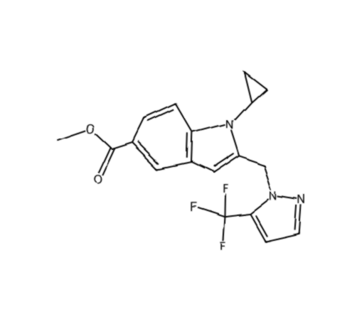 COC(=O)c1ccc2c(c1)cc(Cn1nccc1C(F)(F)F)n2C1CC1